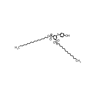 CCCCCCCCCCCCCCCCCOS(=O)(=O)c1cc(Sc2ccc(O)cc2)cc(S(=O)(=O)OCCCCCCCCCCCCCC)c1